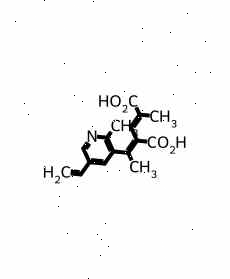 C=Cc1cnc(C)c(C(C)=C(C=C(C)C(=O)O)C(=O)O)c1